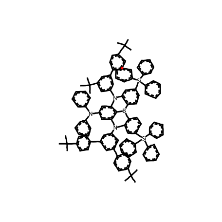 CC(C)(C)c1ccc(-c2cc(-c3ccc(C(C)(C)C)cc3)cc(N3c4cc([Si](c5ccccc5)(c5ccccc5)c5ccccc5)ccc4B4c5ccc([Si](c6ccccc6)(c6ccccc6)c6ccccc6)cc5N(c5cc(-c6ccc(C(C)(C)C)cc6)cc(C(C)(C)C)c5)c5cc(N(c6ccccc6)c6ccccc6)cc3c54)c2)cc1